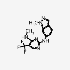 CNc1nc(Nc2ccc3cnn(C)c3c2)ncc1C(F)(F)F